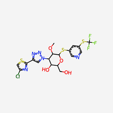 COC1C(Sc2cncc(SC(F)(F)F)c2)OC(CO)C(O)C1n1cc(-c2nc(Cl)cs2)nn1